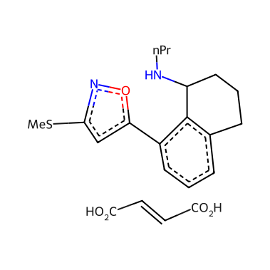 CCCNC1CCCc2cccc(-c3cc(SC)no3)c21.O=C(O)C=CC(=O)O